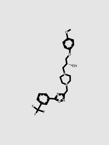 COc1ccc(OC[C@H](O)CN2CCN(Cc3noc(-c4cccc(C(F)(F)F)c4)n3)CC2)cc1